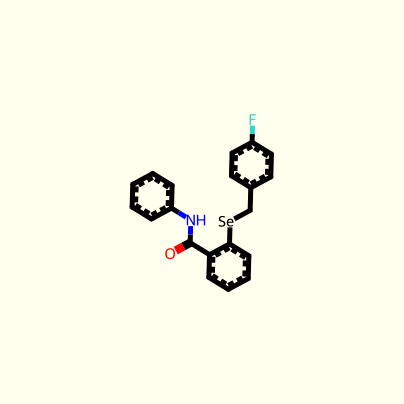 O=C(Nc1ccccc1)c1ccccc1[Se]Cc1ccc(F)cc1